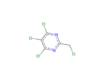 ClCc1nc(Cl)c(Cl)c(Cl)n1